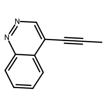 CC#Cc1cnnc2ccccc12